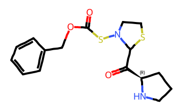 O=C(OCc1ccccc1)SN1CCSC1C(=O)[C@H]1CCCN1